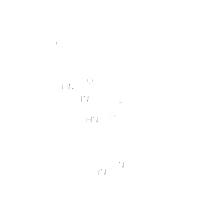 N=C(c1ccc(NC(=O)C(NC(=O)Nc2ccc(Cl)cc2)c2ccccc2F)cc1)N1CCCCC1